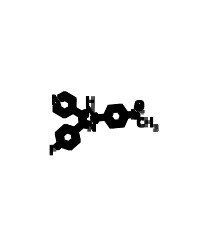 C[N+](=O)c1ccc(-c2nc(-c3ccc(F)cc3)c(-c3ccncc3)[nH]2)cc1